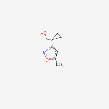 Cc1cc(C2(CO)CC2)no1